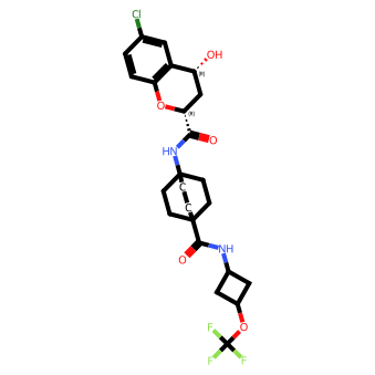 O=C(NC12CCC(C(=O)NC3CC(OC(F)(F)F)C3)(CC1)CC2)[C@H]1C[C@@H](O)c2cc(Cl)ccc2O1